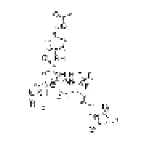 CC(=O)OCc1ccc(NC(=O)[C@H](CCCNC(N)=O)NC(=O)[C@@H](N[C@@H](CCCCCN2C(=O)CC(C)C2=O)C(F)(F)F)C(C)C)cc1